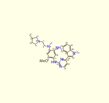 COc1cc(N(C)CCN2CCC(C)C2)c(N)cc1Nc1nccc(-c2cn(C)c3ccccc23)n1